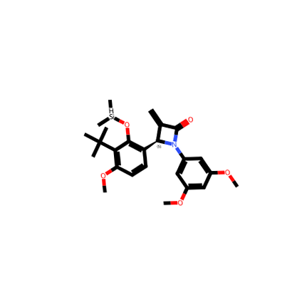 C=C1C(=O)N(c2cc(OC)cc(OC)c2)[C@H]1c1ccc(OC)c(C(C)(C)C)c1O[SiH](C)C